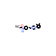 Cc1cccc(N2CCN(CC[C@H]3CC[C@H](NC(=O)CC#N)CC3)CC2)c1C